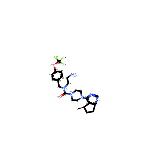 C[C@@H]1CCc2ncnc(N3CCN(C(=O)N(CCN)Cc4ccc(OC(F)(F)F)cc4)CC3)c21